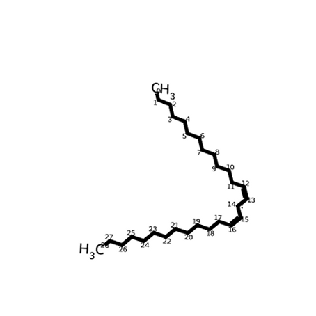 CCCCCCCCCCCC/C=C\[C]/C=C\CCCCCCCCCCCC